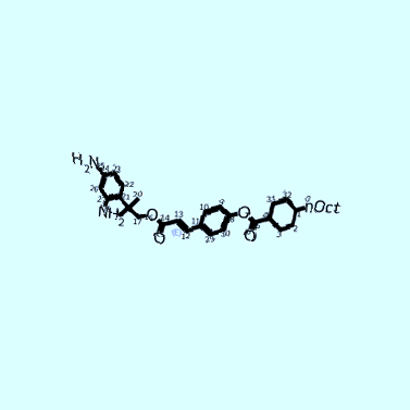 CCCCCCCCC1CCC(C(=O)Oc2ccc(/C=C/C(=O)OCC(C)(C)c3ccc(N)cc3N)cc2)CC1